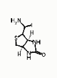 NC(I)[C@@H]1SC[C@@H]2NC(=O)N[C@@H]21